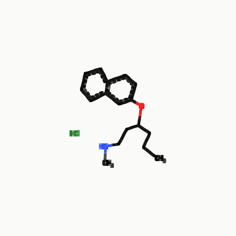 CCCC(CCNC)Oc1ccc2ccccc2c1.Cl